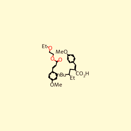 CCCCC(CC)CC(=Cc1ccc(OC)cc1)C(=O)O.CCOCCOC(=O)C=Cc1ccc(OC)cc1